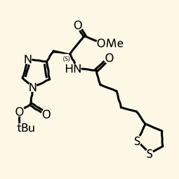 COC(=O)[C@H](Cc1cn(C(=O)OC(C)(C)C)cn1)NC(=O)CCCCC1CCSS1